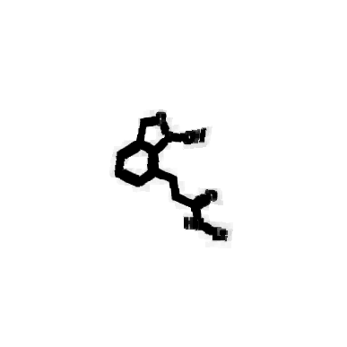 CCNC(=O)CCc1cccc2c1B(O)OC2